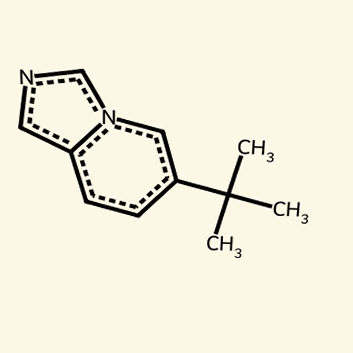 CC(C)(C)c1ccc2cncn2c1